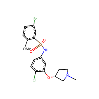 COc1ccc(Br)cc1S(=O)(=O)Nc1ccc(Cl)c(O[C@@H]2CCN(C)C2)c1